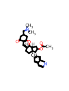 CC(=O)OC1C[C@H]2[C@@H]3OC4=C(C=C3CC[C@]2(C)[C@H]1c1ccc2ccncc2c1)C(=O)CC(CN(C)C)C4